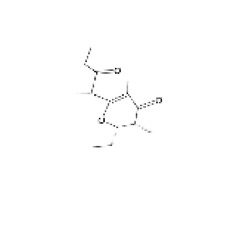 CCC(=O)C(C)C1=C(C)C(=O)[C@H](C)[C@H](CC)O1